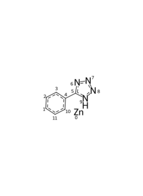 [Zn].c1ccc(-c2nnn[nH]2)cc1